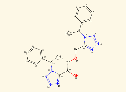 CC(c1ccccc1)n1nnnc1COCC(O)c1nnnn1C(C)c1ccccc1